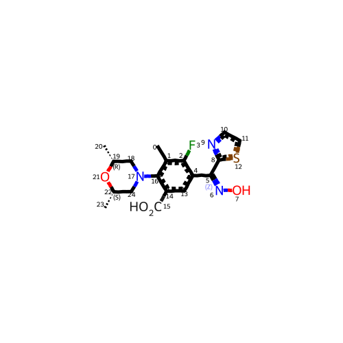 Cc1c(F)c(/C(=N/O)c2nccs2)cc(C(=O)O)c1N1C[C@@H](C)O[C@@H](C)C1